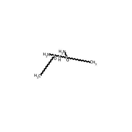 CCCCCCCCC=CCCCCCCCC(=O)N(CCCN)CCCCNCCCN(CCCN)C(=O)CCCCCCCC=CCCCCCCCC